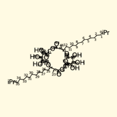 CC(C)CCCCCCCCCCCCC1O[C@@H]2O[C@H](COC(=O)C(C)C(CCCCCCCCCCCC(C)C)O[C@@H]3O[C@H](COC(=O)C1C)[C@@H](O)[C@H](O)[C@H]3O)[C@@H](O)[C@H](O)[C@H]2O